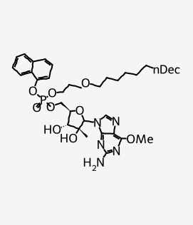 CCCCCCCCCCCCCCCCOCCCOP(=O)(OC[C@H]1OC(n2cnc3c(OC)nc(N)nc32)[C@](C)(O)[C@@H]1O)Oc1cccc2ccccc12